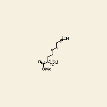 C#CCCCCCC(NCl)C(=O)OC